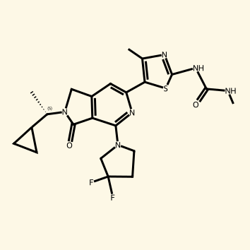 CNC(=O)Nc1nc(C)c(-c2cc3c(c(N4CCC(F)(F)C4)n2)C(=O)N([C@@H](C)C2CC2)C3)s1